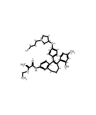 C=C(OCC)C(=O)Nc1ccc2c(c1)CCCC(c1ccc(C)cc1O)=C2c1ccc(OC2CCN(CCCF)C2)cc1